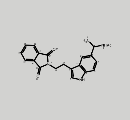 CC(=O)NC(C)c1ccc2[nH]cc(CCN3C(=O)c4ccccc4C3=O)c2c1